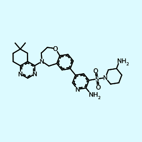 CC1(C)CCc2ncnc(N3CCOc4ccc(-c5cnc(N)c(S(=O)(=O)N6CCCC(N)C6)c5)cc4C3)c2C1